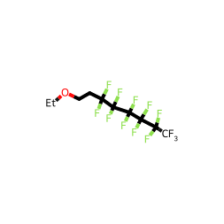 [CH2]COCCC(F)(F)C(F)(F)C(F)(F)C(F)(F)C(F)(F)C(F)(F)F